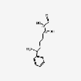 NC(CCCC[C@H](O)[C@@H](O)C=O)c1ccccc1